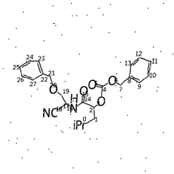 CC(C)CC(OC(=O)OCc1ccccc1)C(=O)NC(C#N)COCc1ccccc1